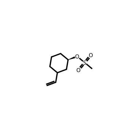 C=CC1CCC[C@@H](OS(C)(=O)=O)C1